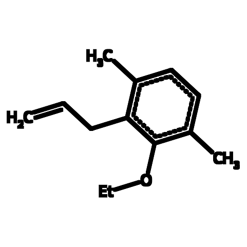 C=CCc1c(C)ccc(C)c1OCC